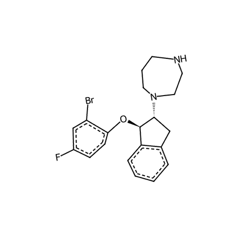 Fc1ccc(O[C@@H]2c3ccccc3C[C@H]2N2CCCNCC2)c(Br)c1